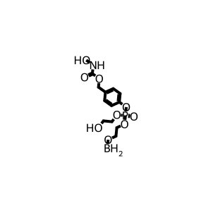 BOCCOP(=O)(OCCO)Oc1ccc(COC(=O)NO)cc1